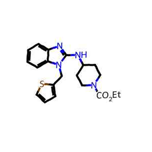 CCOC(=O)N1CCC(Nc2nc3ccccc3n2Cc2cccs2)CC1